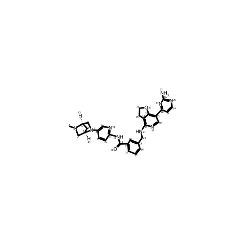 CN1C[C@H]2C[C@@H]1CN2c1ccc(NC(=O)c2cccc(CNc3ncc(-c4ccnc(N)n4)c4c3CCO4)c2)nc1